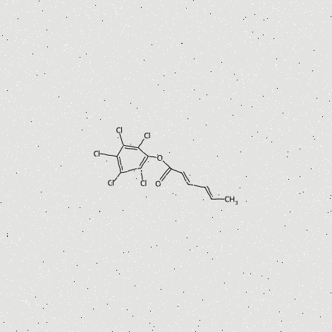 C/C=C/C=C/C(=O)Oc1c(Cl)c(Cl)c(Cl)c(Cl)c1Cl